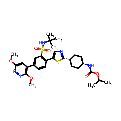 COc1cc(-c2ccc(-c3cnc([C@H]4CC[C@H](NC(=O)OC(C)C)CC4)s3)c(S(=O)(=O)NC(C)(C)C)c2)c(OC)nn1